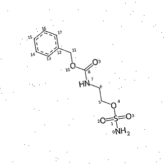 NS(=O)(=O)OCCNC(=O)OCc1ccccc1